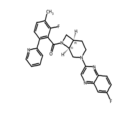 Cc1ccc(-c2ccccn2)c(C(=O)N2C[C@H]3CCN(c4cnc5cc(F)ccc5n4)C[C@H]32)c1F